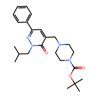 CC(C)Cn1nc(-c2ccccc2)cc(CN2CCN(C(=O)OC(C)(C)C)CC2)c1=O